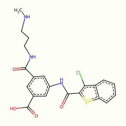 CNCCCNC(=O)c1cc(NC(=O)c2sc3ccccc3c2Cl)cc(C(=O)O)c1